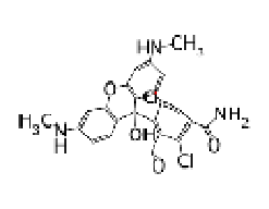 CNc1ccc2c(c1)Oc1cc(NC)ccc1C2(O)c1c(Cl)cc(C(N)=O)c(Cl)c1C=O